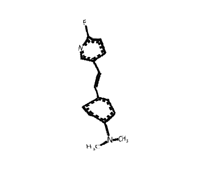 CN(C)c1ccc(C=Cc2ccc(F)nc2)cc1